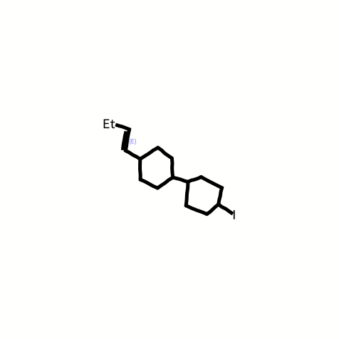 CC/C=C/C1CCC(C2CCC(I)CC2)CC1